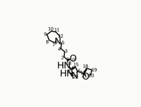 O=C(CCCCN1CCCCCC1)Nc1cc(C2=CCCO2)n[nH]1